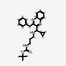 CC(C)(C)OC(=O)NCCCNC(c1nc2ccccc2nc1Cc1ccccc1)C1CC1